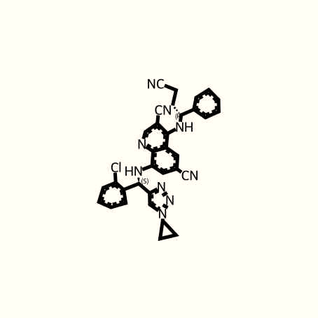 N#CCC[C@@H](Nc1c(C#N)cnc2c(N[C@H](c3cn(C4CC4)nn3)c3ccccc3Cl)cc(C#N)cc12)c1ccccc1